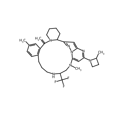 C=C1c2cc(C)ccc2CCCNC(C(F)(F)F)CN(C)c2cc(N3CCC3C)nc3cc(nn23)C2CCCCN12